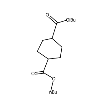 CCCCOC(=O)C1CCC(C(=O)OCC(C)C)CC1